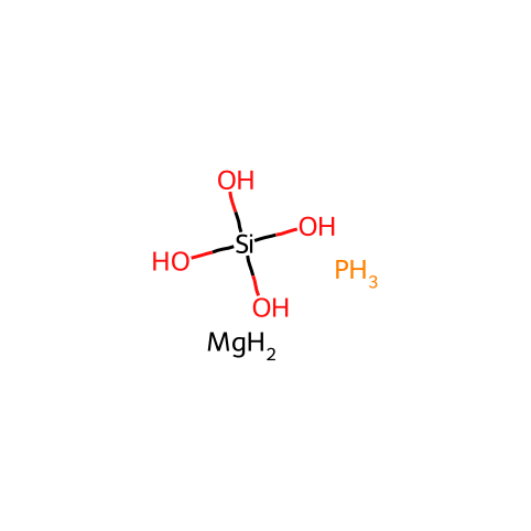 O[Si](O)(O)O.P.[MgH2]